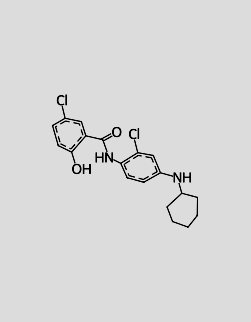 O=C(Nc1ccc(NC2CCCCC2)cc1Cl)c1cc(Cl)ccc1O